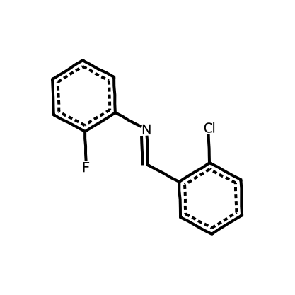 Fc1ccccc1N=Cc1ccccc1Cl